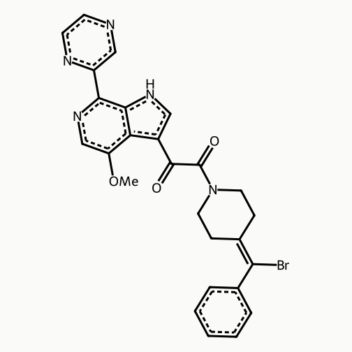 COc1cnc(-c2cnccn2)c2[nH]cc(C(=O)C(=O)N3CCC(=C(Br)c4ccccc4)CC3)c12